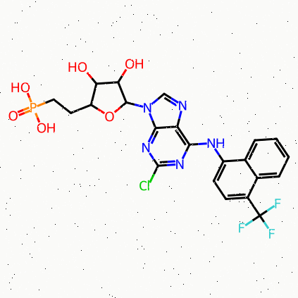 O=P(O)(O)CCC1OC(n2cnc3c(Nc4ccc(C(F)(F)F)c5ccccc45)nc(Cl)nc32)C(O)C1O